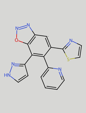 [c]1c(-c2nccs2)c(-c2ccccn2)c(-c2cc[nH]n2)c2onnc12